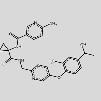 CC(O)c1ccc(Oc2ccc(CNC(=O)C3(NC(=O)c4ccc(N)nc4)CC3)nc2)c(C(F)(F)F)c1